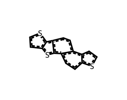 c1cc2c(ccc3c2ccc2c4sccc4sc32)s1